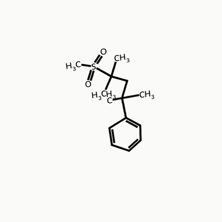 CC(C)(CC(C)(C)S(C)(=O)=O)c1ccccc1